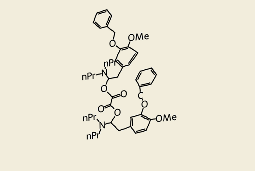 CCCN(CCC)C(Cc1ccc(OC)c(OCc2ccccc2)c1)OC(=O)C(=O)OC(Cc1ccc(OC)c(OCc2ccccc2)c1)N(CCC)CCC